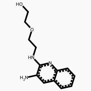 Nc1cc2ccccc2nc1NCCOCCO